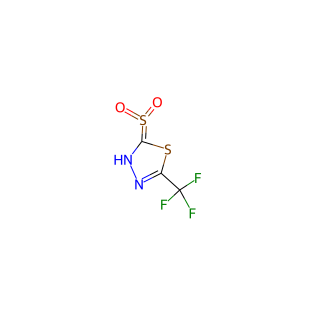 O=S(=O)=c1[nH]nc(C(F)(F)F)s1